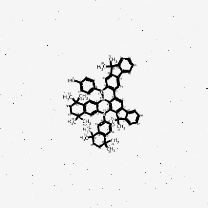 CC(C)(C)c1ccc(N2B3c4cc5c(cc4N(c4ccc6c(c4)C(C)(C)CCC6(C)C)c4c3c(cc3c4C(C)(C)c4ccccc4-3)-c3cc4c(cc32)C(C)(C)c2ccccc2-4)C(C)(C)CCC5(C)C)cc1